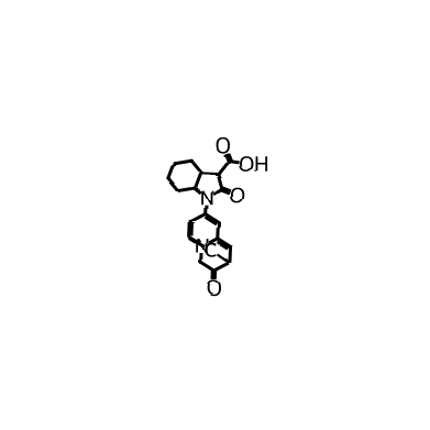 O=C1CN2C3=CC1CC2=CC(N1C(=O)C(C(=O)O)C2CCCCC21)=C3